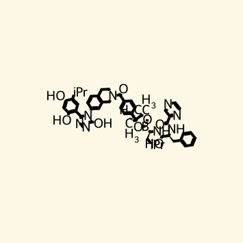 CC(C)C[C@H](NC(O)[C@H](Cc1ccccc1)NC(=O)c1cnccn1)B1OC(C)(C)C(C)(c2ccc(C(=O)N3CCc4ccc(-n5c(O)nnc5-c5cc(C(C)C)c(O)cc5O)cc4C3)cc2)O1